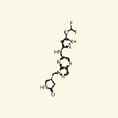 O=C1C[C@H](Cn2ncc3ncc(Nc4cc(OC(F)F)[nH]n4)nc32)CN1